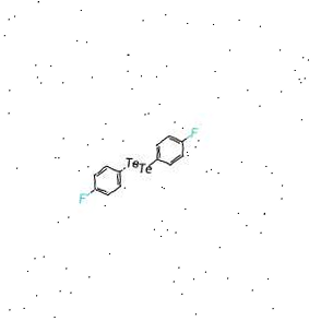 Fc1ccc([Te][Te]c2ccc(F)cc2)cc1